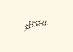 O=C(Nc1ccc(F)cc1)NC1CCC(c2ccccc2)CC1